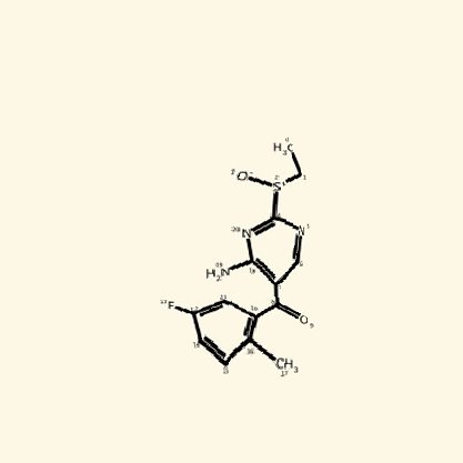 CC[S+]([O-])c1ncc(C(=O)c2cc(F)ccc2C)c(N)n1